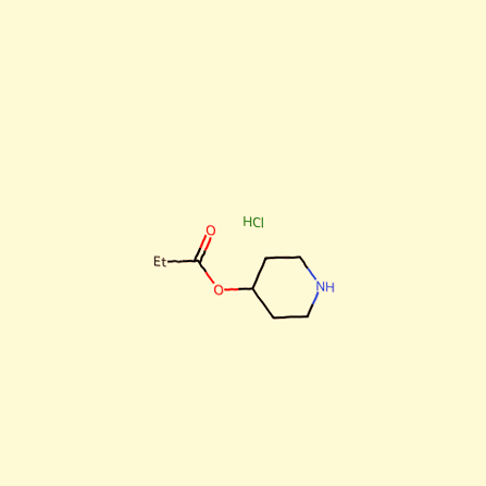 CCC(=O)OC1CCNCC1.Cl